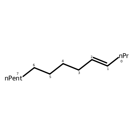 [CH2]CC/C=C/CCCCCCCCC